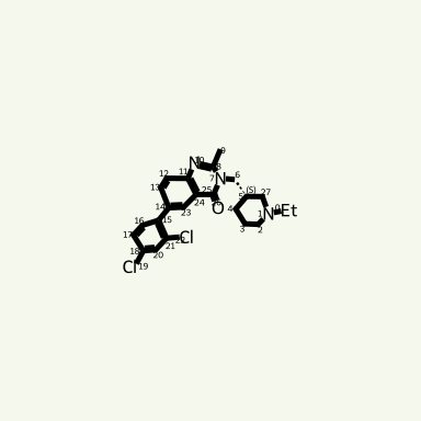 CCN1CCC[C@H](Cn2c(C)nc3ccc(-c4ccc(Cl)cc4Cl)cc3c2=O)C1